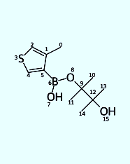 Cc1cscc1B(O)OC(C)(C)C(C)(C)O